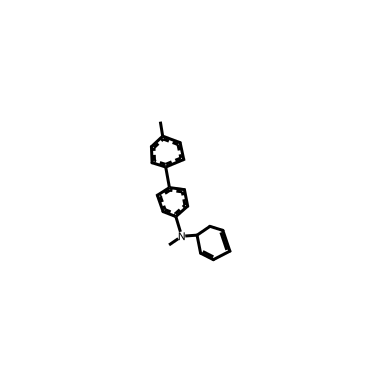 Cc1ccc(-c2ccc(N(C)C3C=CC=CC3)cc2)cc1